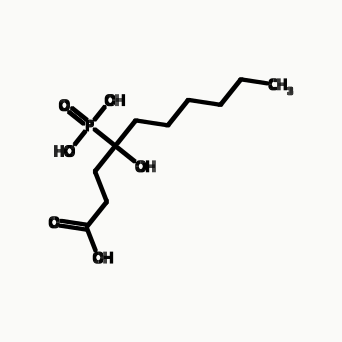 CCCCCCC(O)(CCC(=O)O)P(=O)(O)O